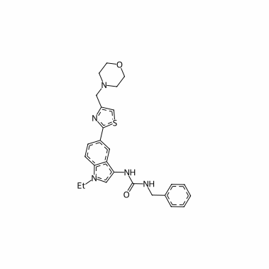 CCn1cc(NC(=O)NCc2ccccc2)c2cc(-c3nc(CN4CCOCC4)cs3)ccc21